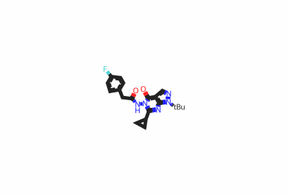 CC(C)(C)n1ncc2c(=O)n(NC(=O)Cc3ccc(F)cc3)c(C3CC3)nc21